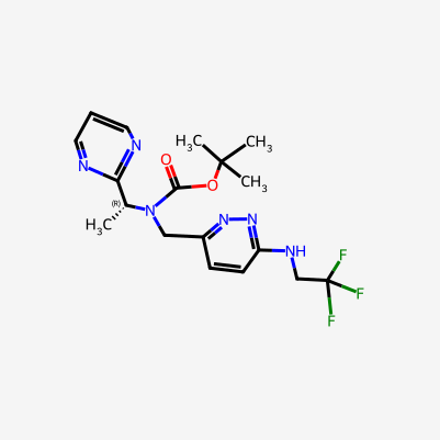 C[C@H](c1ncccn1)N(Cc1ccc(NCC(F)(F)F)nn1)C(=O)OC(C)(C)C